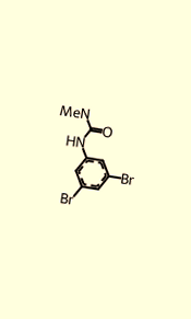 CNC(=O)Nc1cc(Br)cc(Br)c1